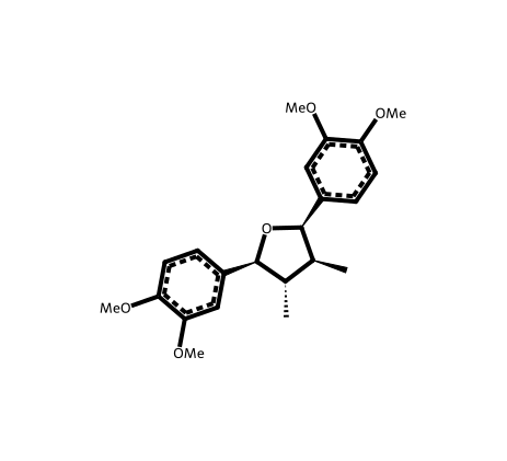 COc1ccc([C@H]2O[C@@H](c3ccc(OC)c(OC)c3)[C@@H](C)[C@@H]2C)cc1OC